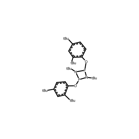 CC(C)(C)c1ccc(OP2N(C(C)(C)C)P(Oc3ccc(C(C)(C)C)cc3C(C)(C)C)N2C(C)(C)C)c(C(C)(C)C)c1